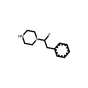 FC(Cc1ccccc1)N1CCNCC1